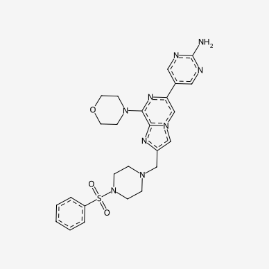 Nc1ncc(-c2cn3cc(CN4CCN(S(=O)(=O)c5ccccc5)CC4)nc3c(N3CCOCC3)n2)cn1